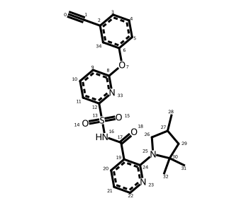 C#Cc1cccc(Oc2cccc(S(=O)(=O)NC(=O)c3cccnc3N3CC(C)CC3(C)C)n2)c1